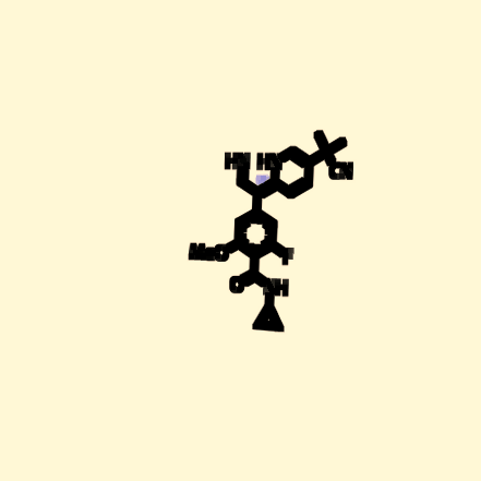 COc1cc(/C(C=N)=C2\C=CC(C(C)(C)C#N)=CN2)cc(F)c1C(=O)NC1CC1